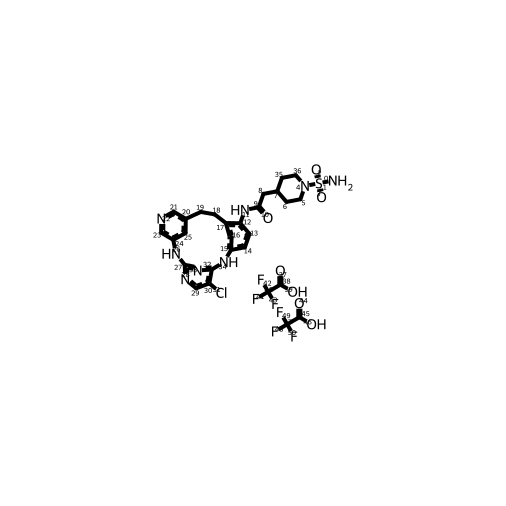 NS(=O)(=O)N1CCC(CC(=O)Nc2ccc3cc2CCc2cncc(c2)Nc2ncc(Cl)c(n2)N3)CC1.O=C(O)C(F)(F)F.O=C(O)C(F)(F)F